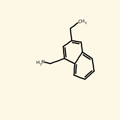 CCc1cc(CN)c2ccccc2c1